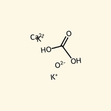 O=C(O)O.[Ca+2].[K+].[K+].[O-2]